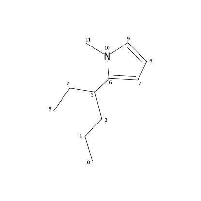 CCCC(CC)c1cccn1C